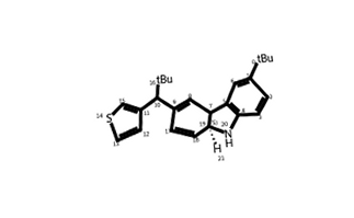 CC(C)(C)c1ccc2c(c1)C1C=C(C(c3ccsc3)C(C)(C)C)C=C[C@@H]1N2